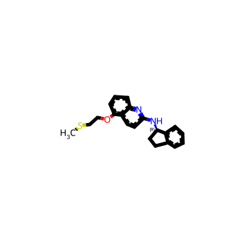 CSCCOc1cccc2nc(N[C@@H]3CCc4ccccc43)ccc12